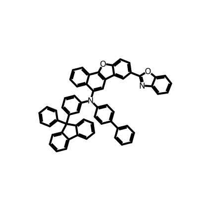 c1ccc(-c2ccc(N(c3cccc(C4(c5ccccc5)c5ccccc5-c5ccccc54)c3)c3cc4c5cc(-c6nc7ccccc7o6)ccc5oc4c4ccccc34)cc2)cc1